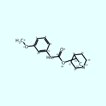 COc1cccc(NC(=O)OC2CN3CCC2CC3)c1